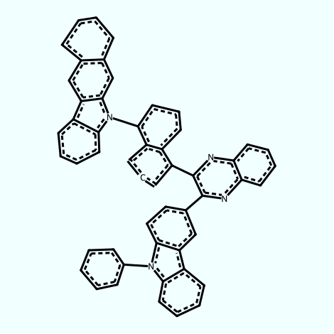 c1ccc(-n2c3ccccc3c3cc(-c4nc5ccccc5nc4-c4cccc5c(-n6c7ccccc7c7cc8ccccc8cc76)cccc45)ccc32)cc1